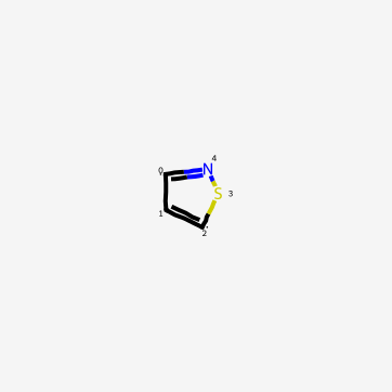 [c]1c[c]sn1